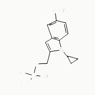 CCOC(=O)c1ccc2c(c1)cc(CO[Si](C)(C)C(C)(C)C)n2C1CC1